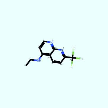 CCNc1ccnc2nc(C(F)(F)F)ccc12